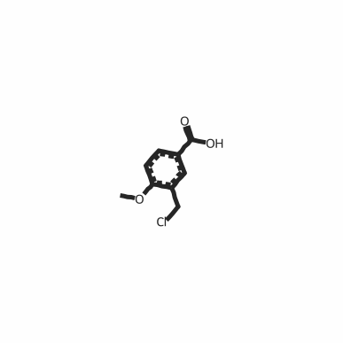 COc1ccc(C(=O)O)cc1CCl